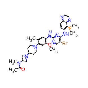 COc1cc(N2CCC(N3CC(N(C)C(C)=O)C3)CC2)c(C)cc1Nc1ncc(Br)c(Nc2ccc3nccnc3c2P(C)C)n1